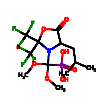 COC(OC)(N1C(CC(C)C)C(=O)OC1(C(F)(F)F)C(F)(F)F)P(=O)(O)O